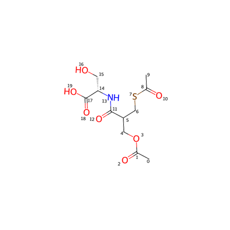 CC(=O)OCC(CSC(C)=O)C(=O)N[C@@H](CO)C(=O)O